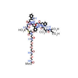 COC(=O)NCCOCCNC(=O)CCOCCOCCNC(=O)CCN1C(=O)CC(SCC(NC(=O)CNC(=O)C(Cc2c[nH]c3ccccc23)NC(=O)C(Cc2c[nH]c3ccccc23)NC(=O)CNC(=O)C(Cc2ccccc2)NNC(=O)CC[C@H](NC(=O)N[C@@H](CCC(=O)O)C(=O)O)C(=O)O)C(=O)O)C1=O